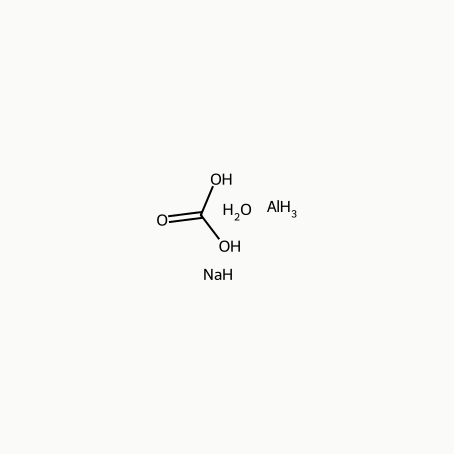 O.O=C(O)O.[AlH3].[NaH]